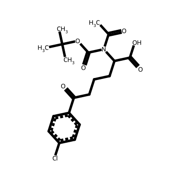 CC(=O)N(C(=O)OC(C)(C)C)C(CCCC(=O)c1ccc(Cl)cc1)C(=O)O